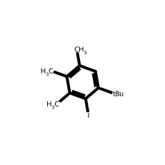 Cc1cc(C(C)(C)C)c(I)c(C)c1C